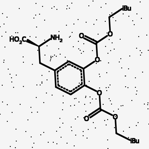 CCC(C)COC(=O)Oc1ccc(C[C@H](N)C(=O)O)cc1OC(=O)OCC(C)CC